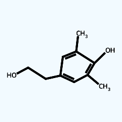 Cc1cc(CCO)cc(C)c1O